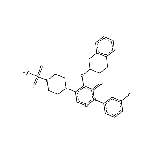 CS(=O)(=O)N1CCN(c2cnn(-c3cccc(Cl)c3)c(=O)c2OC2CCc3ccccc3C2)CC1